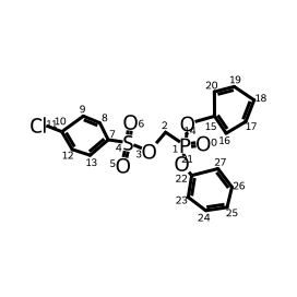 O=P(COS(=O)(=O)c1ccc(Cl)cc1)(Oc1ccccc1)Oc1ccccc1